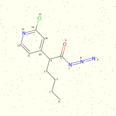 CCCCC(C(=O)N=[N+]=[N-])c1ccnc(Cl)c1